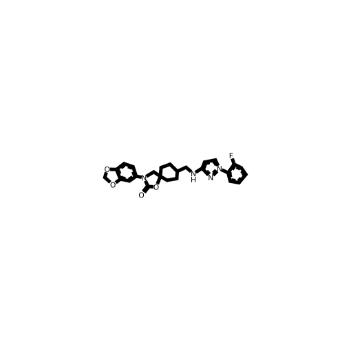 O=C1OC2(CCC(CNc3ccn(-c4ccccc4F)n3)CC2)CN1c1ccc2c(c1)OCO2